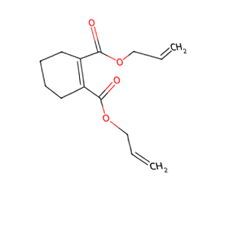 C=CCOC(=O)C1=C(C(=O)OCC=C)CCCC1